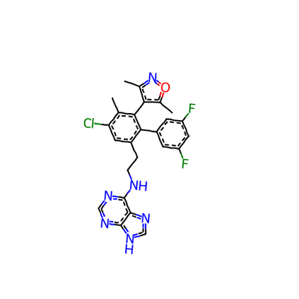 Cc1noc(C)c1-c1c(C)c(Cl)cc(CCNc2ncnc3[nH]cnc23)c1-c1cc(F)cc(F)c1